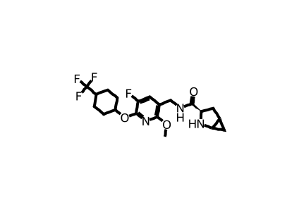 COc1nc(OC2CCC(C(F)(F)F)CC2)c(F)cc1CNC(=O)[C@H]1CC2CC2N1